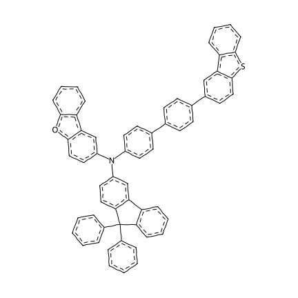 c1ccc(C2(c3ccccc3)c3ccccc3-c3cc(N(c4ccc(-c5ccc(-c6ccc7sc8ccccc8c7c6)cc5)cc4)c4ccc5oc6ccccc6c5c4)ccc32)cc1